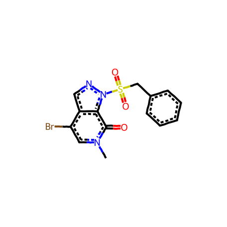 Cn1cc(Br)c2cnn(S(=O)(=O)Cc3ccccc3)c2c1=O